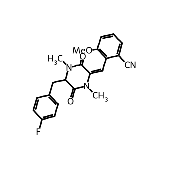 COc1cccc(C#N)c1/C=C1\C(=O)N(C)C(Cc2ccc(F)cc2)C(=O)N1C